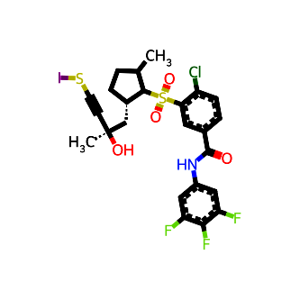 CC1CC[C@@H](C[C@@](C)(O)C#CSI)C1S(=O)(=O)c1cc(C(=O)Nc2cc(F)c(F)c(F)c2)ccc1Cl